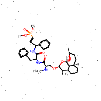 CCOP(=O)(/C=C/C(NC(=O)C(Cc1ccccc1)NC(=O)C(CO[C@H]1O[C@@H]2O[C@@]3(C)CC[C@H]4[C@H](C)CC[C@@H]([C@H]1C)[C@@]24OO3)NC(=O)O)c1ccccc1)OCC